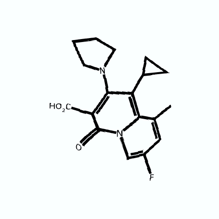 Cc1cc(F)cn2c(=O)c(C(=O)O)c(N3CCCC3)c(C3CC3)c12